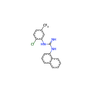 N=C(Nc1cc(C(F)(F)F)ccc1Cl)Nc1cccc2ccccc12